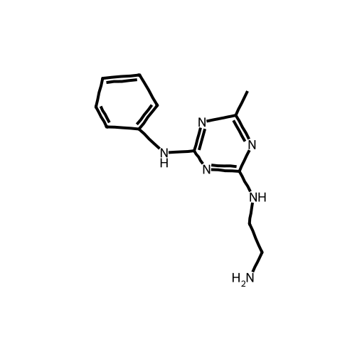 Cc1nc(NCCN)nc(Nc2ccccc2)n1